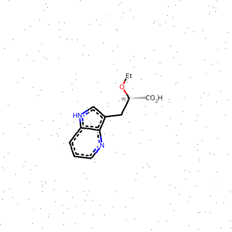 CCO[C@@H](Cc1c[nH]c2cccnc12)C(=O)O